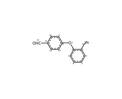 CC(C)c1ccccc1Oc1ccc(C=O)cc1